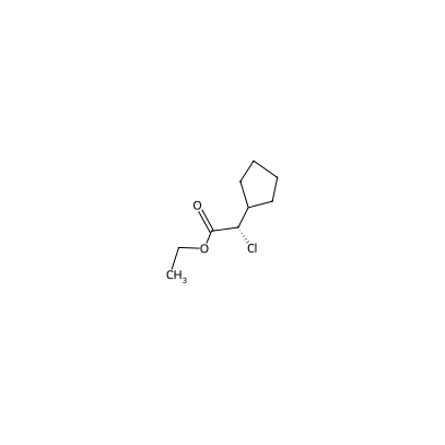 CCOC(=O)[C@@H](Cl)C1CCCC1